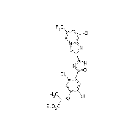 CCOC(=O)C(C)Oc1cc(Cl)c(-c2nc(-c3cn4cc(C(F)(F)F)cc(Cl)c4n3)no2)cc1Cl